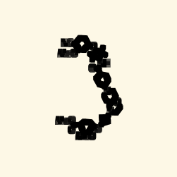 COC(=O)c1ccc(OC2CC(N3CCOC4(CCN(c5ccc(C(=O)NC6C(C)(C)C(Oc7ccc(C#N)c(OC)c7)C6(C)C)cc5)CC4)C3)C2)cc1OC